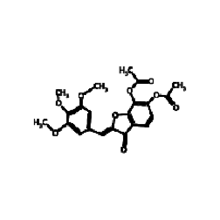 COc1cc(C=C2Oc3c(ccc(OC(C)=O)c3OC(C)=O)C2=O)cc(OC)c1OC